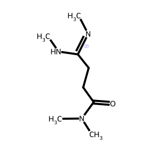 C/N=C(/CCC(=O)N(C)C)NC